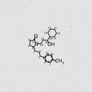 Cc1ccc(CCCC2CCC(=O)N2CCC(O)C2CCCCC2)cc1